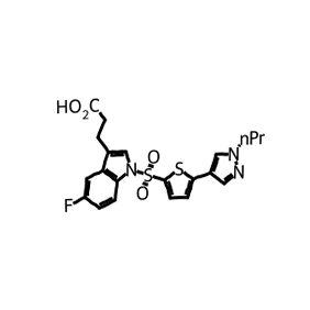 CCCn1cc(-c2ccc(S(=O)(=O)n3cc(CCC(=O)O)c4cc(F)ccc43)s2)cn1